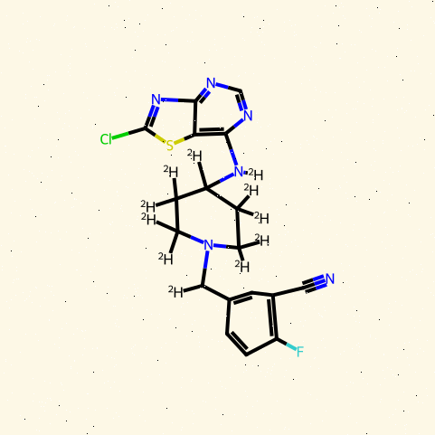 [2H]C(c1ccc(F)c(C#N)c1)N1C([2H])([2H])C([2H])([2H])C([2H])(N([2H])c2ncnc3nc(Cl)sc23)C([2H])([2H])C1([2H])[2H]